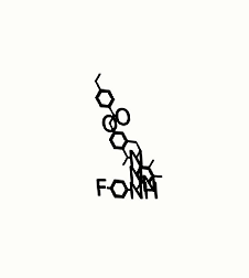 CCc1ccc(C(=O)Oc2ccc3c(c2)CCN(c2nc(Nc4ccc(F)cc4)nc(C)c2C)C3C)cc1